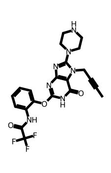 CC#CCn1c(N2CCNCC2)nc2nc(Oc3ccccc3NC(=O)C(F)(F)F)[nH]c(=O)c21